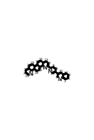 c1ccc2ncc(-c3ccc(-c4ccc5ccc6c7ccc8cccnc8c7ccc6c5n4)nc3)cc2c1